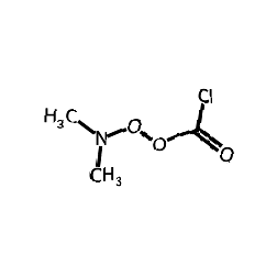 CN(C)OOC(=O)Cl